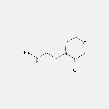 CC(C)(C)NCCN1CCOCC1=O